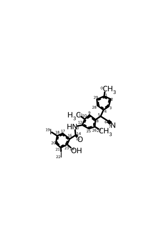 Cc1ccc(C(C#N)c2cc(C)c(NC(=O)c3cc(I)cc(I)c3O)cc2C)cc1